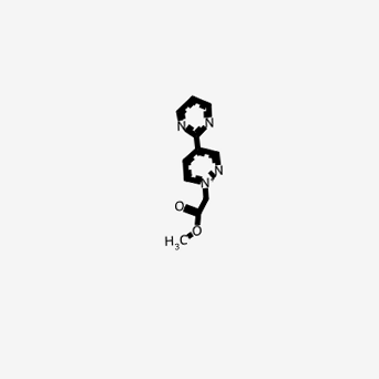 COC(=O)C[n+]1ccc(-c2ncccn2)cn1